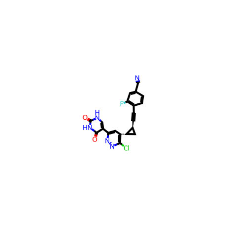 N#Cc1ccc(C#C[C@H]2C[C@@H]2c2cc(-c3c[nH]c(=O)[nH]c3=O)nnc2Cl)c(F)c1